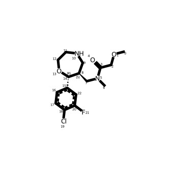 COCC(=O)N(C)C[C@@H]1CNCCO[C@H]1c1ccc(Cl)c(F)c1